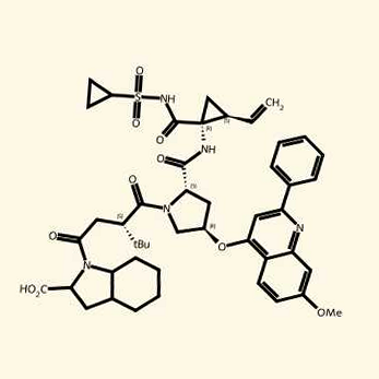 C=C[C@@H]1C[C@]1(NC(=O)[C@@H]1C[C@@H](Oc2cc(-c3ccccc3)nc3cc(OC)ccc23)CN1C(=O)[C@@H](CC(=O)N1C(C(=O)O)CC2CCCCC21)C(C)(C)C)C(=O)NS(=O)(=O)C1CC1